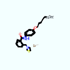 CCCCCCCCCCCCCCOc1ccc(NC(=O)c2ccccc2C[n+]2ccsc2)cc1.[Br-]